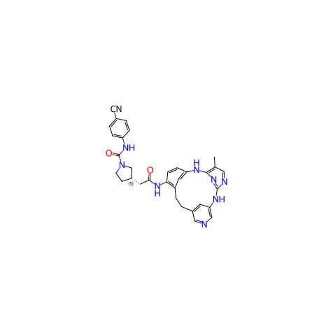 Cc1cnc2nc1Nc1ccc(NC(=O)C[C@@H]3CCN(C(=O)Nc4ccc(C#N)cc4)C3)c(c1)CCc1cncc(c1)N2